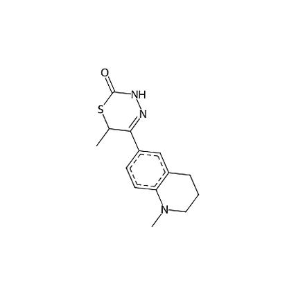 CC1SC(=O)NN=C1c1ccc2c(c1)CCCN2C